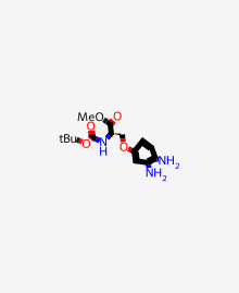 COC(=O)[C@H](COc1ccc(N)c(N)c1)NC(=O)OC(C)(C)C